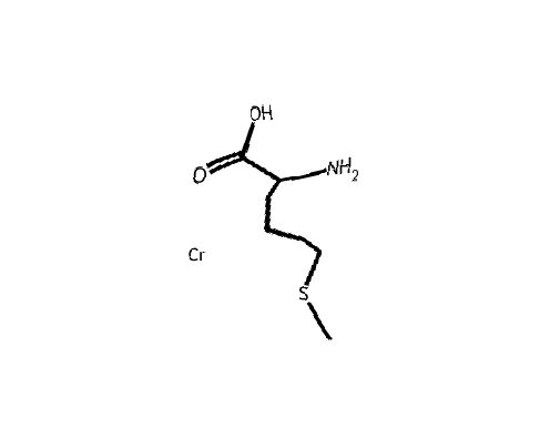 CSCCC(N)C(=O)O.[Cr]